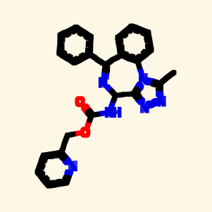 Cc1nnc2n1-c1ccccc1C(c1ccccc1)=NC2NC(=O)OCc1ccccn1